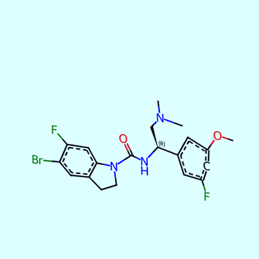 COc1cc(F)cc([C@H](CN(C)C)NC(=O)N2CCc3cc(Br)c(F)cc32)c1